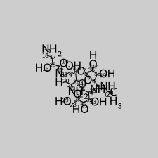 CCNC[C@H]1O[C@@H](OC2C(O)[C@H](NC(=O)[C@@H](O)CCN)CC(N)[C@H]2O[C@H]2OC(CO)[C@@H](O)C(O)C2N)C(O)C1O